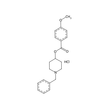 COc1ccc(C(=O)OC2CCN(Cc3ccccc3)CC2)cc1.Cl